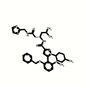 COc1cccc(OCc2ccccc2)c1-c1cc(C(=O)N[C@H](CC(=O)NCc2ncco2)CC(C)C)nn1C1CCC(C)CC1